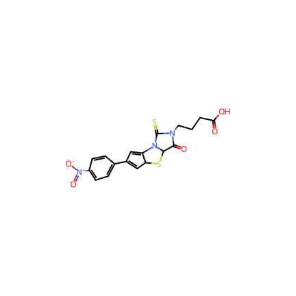 O=C(O)CCCN1C(=O)C2SC3C=C(c4ccc([N+](=O)[O-])cc4)C=C3N2C1=S